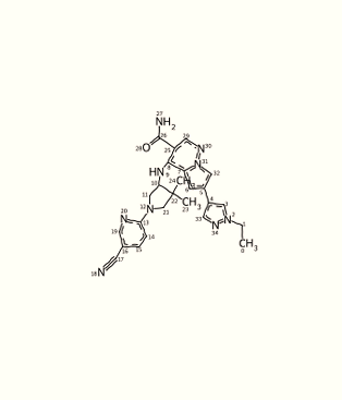 CCn1cc(-c2cc3c(NC4CN(c5ccc(C#N)cn5)CC4(C)C)c(C(N)=O)cnn3c2)cn1